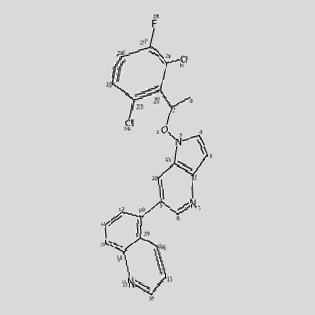 CC(On1ccc2ncc(-c3cccc4ncccc34)cc21)c1c(Cl)ccc(F)c1Cl